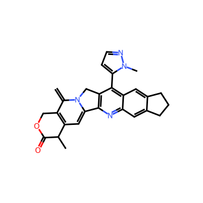 C=C1C2=C(C=C3c4nc5cc6c(cc5c(-c5ccnn5C)c4CN13)CCC6)C(C)C(=O)OC2